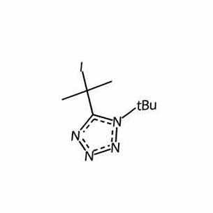 CC(C)(I)c1nnnn1C(C)(C)C